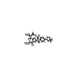 CC(C)(C)OC(=O)N1C[C@H](S(=O)(=O)c2ccc(N3CCC(F)(F)C3)cc2C(F)(F)F)C[C@H]1C(=O)N(C#N)C1CC1